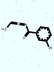 CC=C=NC(=O)c1cccc(C(C)C)c1